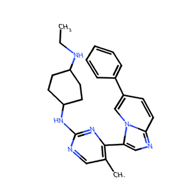 CCNC1CCC(Nc2ncc(C)c(-c3cnc4ccc(-c5ccccc5)cn34)n2)CC1